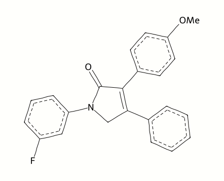 COc1ccc(C2=C(c3ccccc3)CN(c3cccc(F)c3)C2=O)cc1